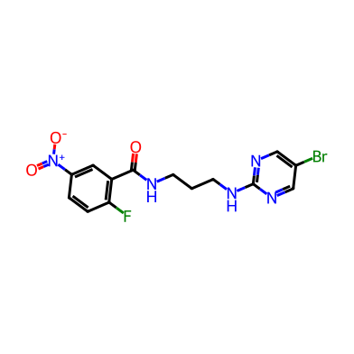 O=C(NCCCNc1ncc(Br)cn1)c1cc([N+](=O)[O-])ccc1F